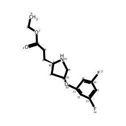 CCOC(=O)CC[C@@H]1C[C@H](Oc2cc(F)cc(F)c2)CN1